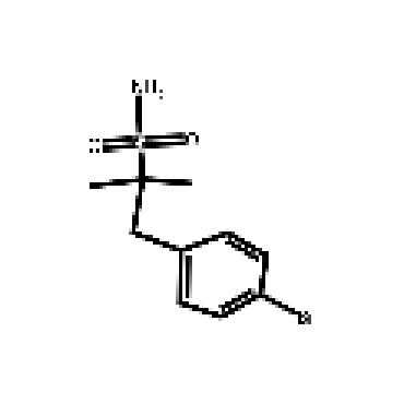 CC(C)(Cc1ccc(Br)cc1)S(N)(=O)=O